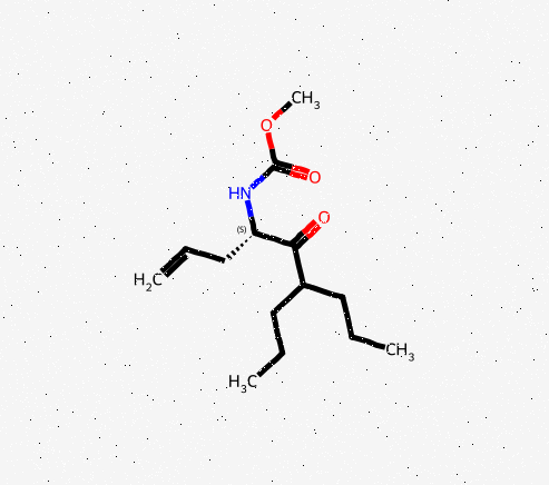 C=CC[C@H](NC(=O)OC)C(=O)C(CCC)CCC